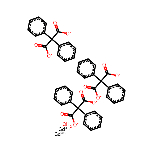 O.O=C([O-])C(C(=O)[O-])(c1ccccc1)c1ccccc1.O=C([O-])C(C(=O)[O-])(c1ccccc1)c1ccccc1.O=C([O-])C(C(=O)[O-])(c1ccccc1)c1ccccc1.[Gd+3].[Gd+3]